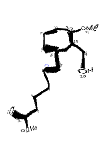 COC(=O)CCC/C=C/c1cccc(OC)c1CO